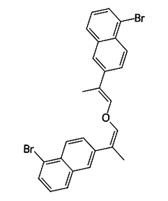 CC(=COC=C(C)c1ccc2c(Br)cccc2c1)c1ccc2c(Br)cccc2c1